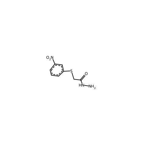 NNC(=O)CSc1cccc([N+](=O)[O-])c1